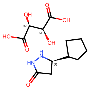 O=C(O)[C@@H](O)[C@H](O)C(=O)O.O=C1C[C@H](C2CCCC2)NN1